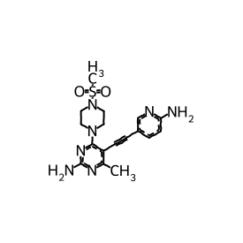 Cc1nc(N)nc(N2CCN(S(C)(=O)=O)CC2)c1C#Cc1ccc(N)nc1